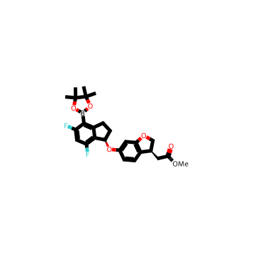 COC(=O)C[C@@H]1COc2cc(O[C@@H]3CCc4c(B5OC(C)(C)C(C)(C)O5)c(F)cc(F)c43)ccc21